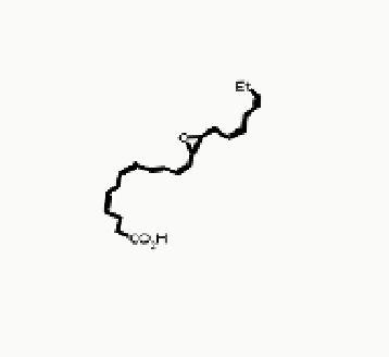 CC/C=C\C/C=C\CC1OC1\C=C/C=C/C=C\C/C=C\CCC(=O)O